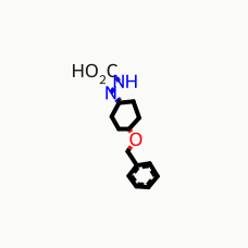 O=C(O)NN=C1CCC(OCc2ccccc2)CC1